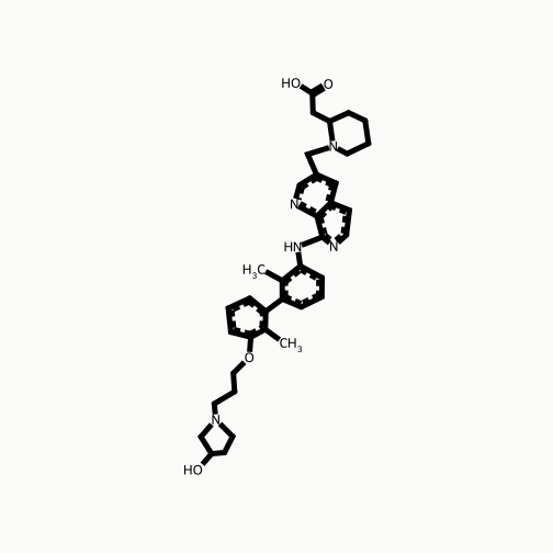 Cc1c(Nc2nccc3cc(CN4CCCCC4CC(=O)O)cnc23)cccc1-c1cccc(OCCCN2CCC(O)C2)c1C